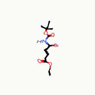 CCOC(=O)CCC(Br)NC(=O)OC(C)(C)C